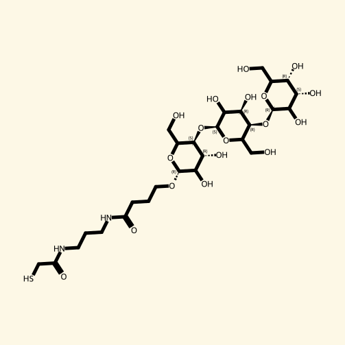 O=C(CS)NCCCNC(=O)CCCO[C@@H]1OC(CO)[C@@H](O[C@@H]2OC(CO)[C@H](O[C@H]3OC(CO)[C@H](O)[C@H](O)C3O)[C@H](O)C2O)[C@H](O)C1O